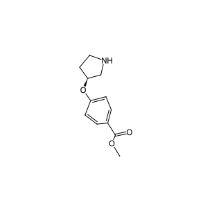 COC(=O)c1ccc(O[C@H]2CCNC2)cc1